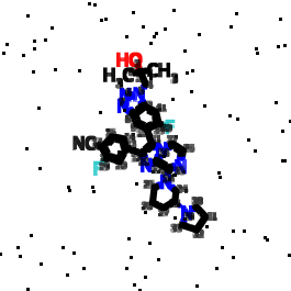 CC(C)(O)Cn1nnc2cc(-c3c(-c4ccc(C#N)c(F)c4)nc4c(N5CCC[C@@H](N6CCCC6)C5)nccn34)c(F)cc21